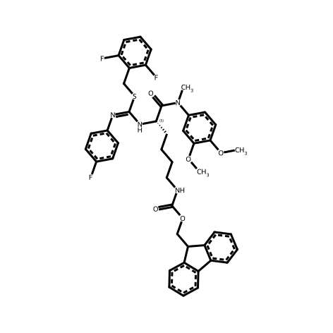 COc1ccc(N(C)C(=O)[C@H](CCCCNC(=O)OCC2c3ccccc3-c3ccccc32)NC(=Nc2ccc(F)cc2)SCc2c(F)cccc2F)cc1OC